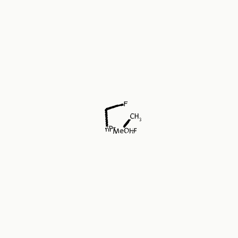 CCCCF.COC.F